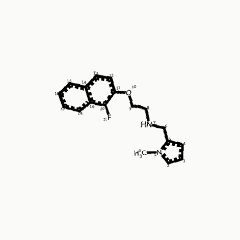 Cn1cccc1CNCCOc1ccc2ccccc2c1F